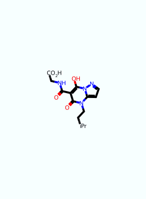 CC(C)CCn1c(=O)c(C(=O)NCC(=O)O)c(O)n2nccc12